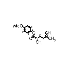 COc1ccc(OC(=O)N(C)CCN(C)C)cc1